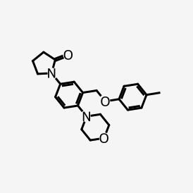 Cc1ccc(OCc2cc(N3CCCC3=O)ccc2N2CCOCC2)cc1